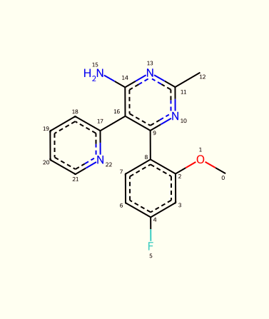 COc1cc(F)ccc1-c1nc(C)nc(N)c1-c1ccccn1